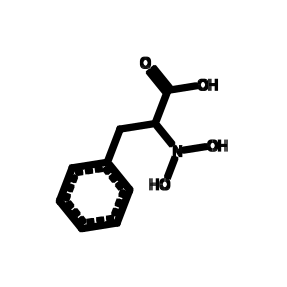 O=C(O)C(Cc1ccccc1)N(O)O